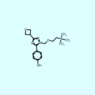 C[Si](C)(C)CCOCn1nc(C2COC2)nc1-c1ccc(O)cc1